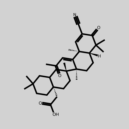 CC(=O)/C=C1/[C@@]2(C)C=C(C#N)C(=O)C(C)(C)[C@@H]2CC[C@@]1(C)[C@]1(C)CC[C@@]2(CC(=O)O)CCC(C)(C)CC2C1